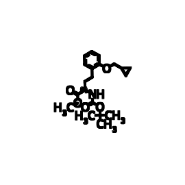 COC(=O)[C@@H](CCc1ccccc1OCC1CC1)NC(=O)OC(C)(C)C